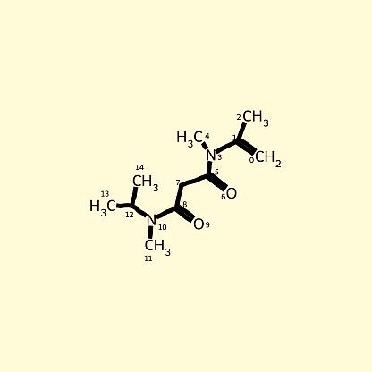 C=C(C)N(C)C(=O)CC(=O)N(C)C(C)C